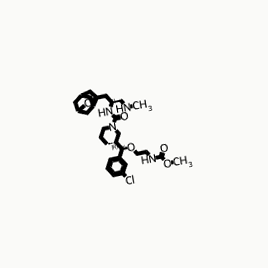 CNC[C@H](CC12CC3CC(CC1C3)C2)NC(=O)N1CCC[C@@H]([C@@H](OCCNC(=O)OC)c2cccc(Cl)c2)C1